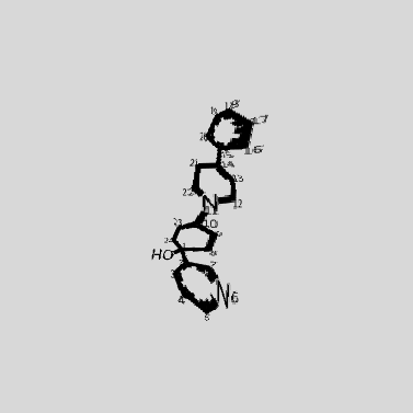 OC1(c2cccnc2)CCC(N2CC=C(c3ccccc3)CC2)CC1